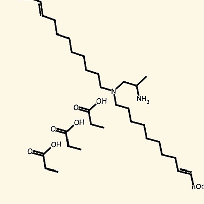 CCC(=O)O.CCC(=O)O.CCC(=O)O.CCCCCCCCC=CCCCCCCCCN(CCCCCCCCC=CCCCCCCCC)CC(C)N